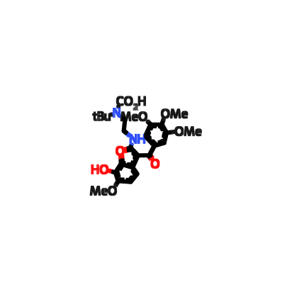 COc1cc(C(=O)c2c(NCCN(C(=O)O)C(C)(C)C)oc3c(O)c(OC)ccc23)cc(OC)c1OC